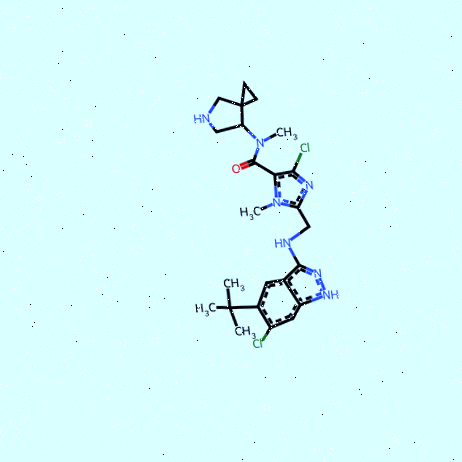 CN(C(=O)c1c(Cl)nc(CNc2n[nH]c3cc(Cl)c(C(C)(C)C)cc23)n1C)C1CNCC12CC2